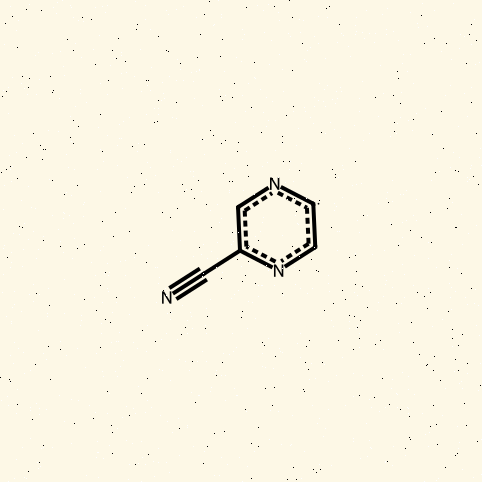 N#Cc1cn[c]cn1